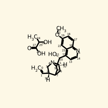 C=C[C@@H]1CN2CCC1C[C@@H]2[C@H](O)c1ccnc2ccc(OC)cc12.CC(O)C(=O)O